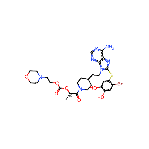 C[C@H](OC(=O)OCCN1CCOCC1)C(=O)N1CCC(CCn2c(Sc3cc(O)c(O)cc3Br)nc3c(N)ncnc32)CC1